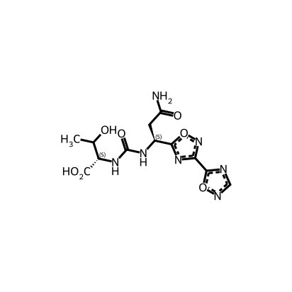 CC(O)[C@H](NC(=O)N[C@@H](CC(N)=O)c1nc(-c2ncno2)no1)C(=O)O